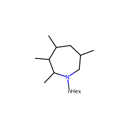 CCCCCCN1CC(C)CC(C)C(C)C1C